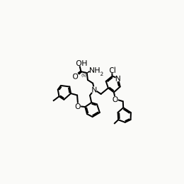 Cc1cccc(COc2ccccc2CN(CC[C@H](N)C(=O)O)Cc2cc(Cl)ncc2OCc2cccc(C)c2)c1